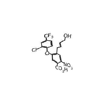 O=C(O)c1cc(Oc2ccc(C(F)(F)F)cc2Cl)c(CC=CCO)cc1[N+](=O)[O-]